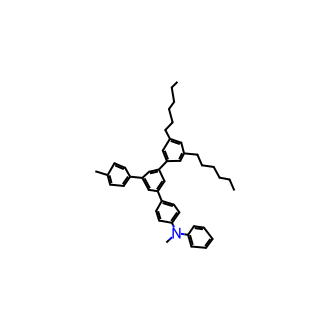 CCCCCCc1cc(CCCCCC)cc(-c2cc(-c3ccc(C)cc3)cc(-c3ccc(N(C)c4ccccc4)cc3)c2)c1